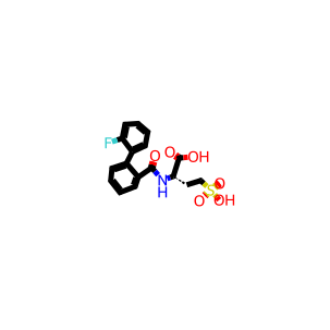 O=C(N[C@@H](CCS(=O)(=O)O)C(=O)O)c1ccccc1-c1ccccc1F